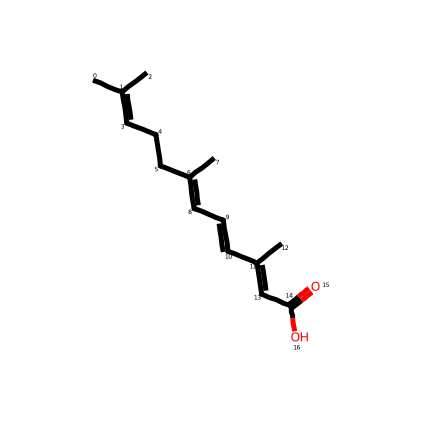 CC(C)=CCC/C(C)=C/C=C/C(C)=C/C(=O)O